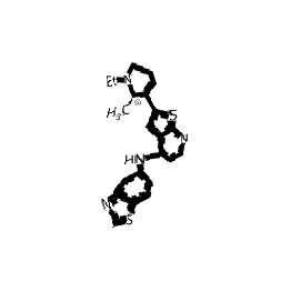 CCN1CCC=C(c2cc3c(Nc4ccc5scnc5c4)ccnc3s2)[C@@H]1C